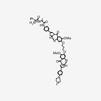 COc1cc2c(cc1OCCCOc1cc3c(cc1OC)C(=O)C1C=C(c4ccc(N5CCN(C)CC5)cc4)C[C@H]1C=N3)N=C[C@@H]1CC(c3ccc(NC(=O)[C@H](C)NC(=O)[C@@H](N)C(C)C)cc3)=CC1C2=O